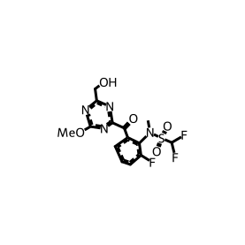 COc1nc(CO)nc(C(=O)c2cccc(F)c2N(C)S(=O)(=O)C(F)F)n1